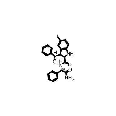 NC(=O)[C@@H](NC(=O)C1Nc2ccc(I)cc2C1[PH](=O)c1ccccc1)c1ccccc1